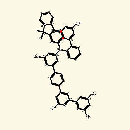 CC(C)(C)c1cc(-c2ccc(-c3cc(N(c4ccc5c(c4)C(C)(C)c4ccccc4-5)c4ccccc4-c4cc(C(C)(C)C)cc(C(C)(C)C)c4)cc(C(C)(C)C)c3)cc2)cc(-c2cc(C(C)(C)C)cc(C(C)(C)C)c2)c1